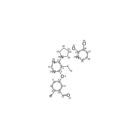 CCc1c(Oc2ccc(F)c(C=O)c2)ncnc1N1CC[C@H](Oc2ncccc2Cl)C1